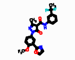 CC1=NN(c2ccc(OC(F)(F)F)c(-c3ncco3)c2)C(=O)C1C(=O)Nc1cccc(C(C)(F)F)c1